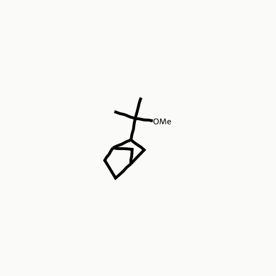 COC(C)(C)C1CC2CCC1C2